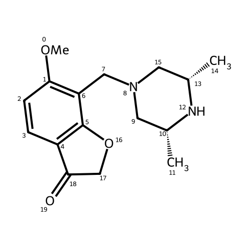 COc1ccc2c(c1CN1C[C@@H](C)N[C@@H](C)C1)OCC2=O